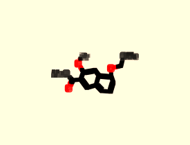 COCOc1cccc2cc(C(=O)OC)c(OC(C)C)cc12